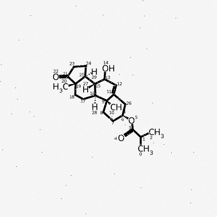 CC(C)C(=O)O[C@H]1CC[C@@]2(C)C(=CC(O)[C@@H]3[C@@H]2CC[C@]2(C)C(=O)CC[C@@H]32)C1